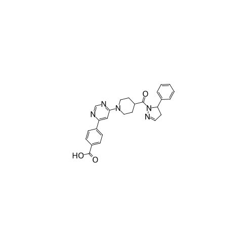 O=C(O)c1ccc(-c2cc(N3CCC(C(=O)N4N=CCC4c4ccccc4)CC3)ncn2)cc1